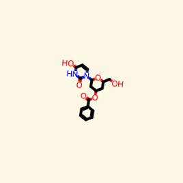 O=C(OC1CC(CO)OC(N2C=CC(O)NC2=O)C1)c1ccccc1